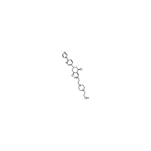 O=C1CC(c2ccc(-n3ccnc3)nc2)CC(=O)C1=CNCCN1CCN(CCO)CC1